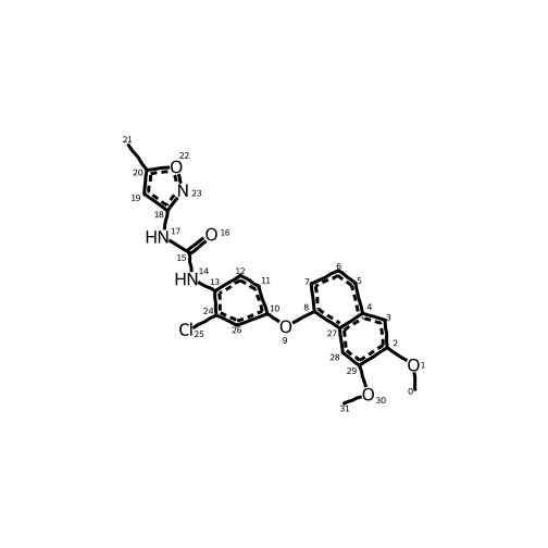 COc1cc2cccc(Oc3ccc(NC(=O)Nc4cc(C)on4)c(Cl)c3)c2cc1OC